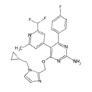 Cc1cc(-c2c(OCc3nccn3CC3CC3)nc(N)nc2-c2ccc(F)cc2)cc(C(F)F)n1